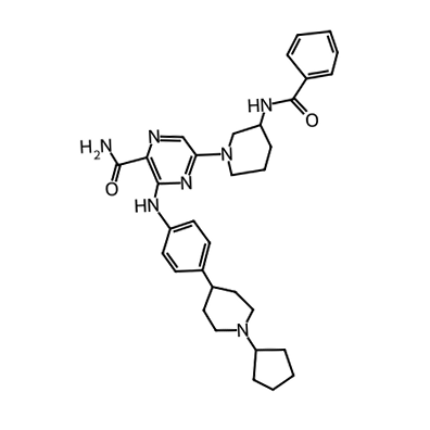 NC(=O)c1ncc(N2CCCC(NC(=O)c3ccccc3)C2)nc1Nc1ccc(C2CCN(C3CCCC3)CC2)cc1